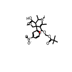 COCC1(c2cccc([N+](=O)[O-])c2)C(C(=O)OCOC(=O)C(C)(C)C)=C(C)N(I)C(C)C1C(=O)O